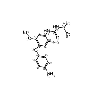 CCOc1cc(NC(=O)NC(CC)CC)c(F)cc1Oc1ccc(N)cc1